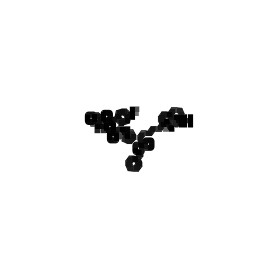 O=C(OCc1ccccc1)C(CCCCc1ccc2c(n1)NCCC2)[C@@H]1CCN([C@@H](C(=O)O)c2cc(F)ccc2CO[C@H]2CCOC2)C1